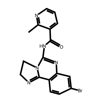 Cc1ncccc1C(=O)NC1=Nc2cc(Br)ccc2C2=NCCN12